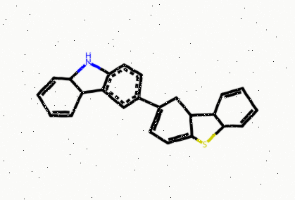 C1=CC2Nc3ccc(C4=CC=C5SC6C=CC=CC6C5C4)cc3C2C=C1